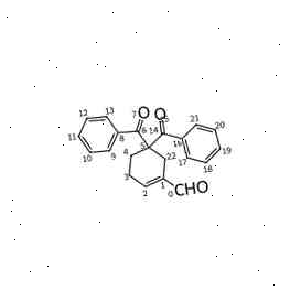 O=CC1=CCCC(C(=O)c2ccccc2)(C(=O)c2ccccc2)C1